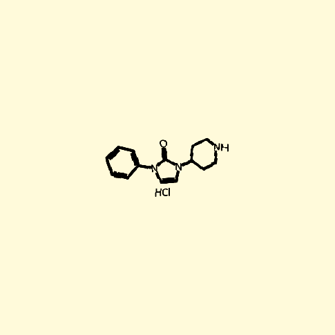 Cl.O=c1n(-c2ccccc2)ccn1C1CCNCC1